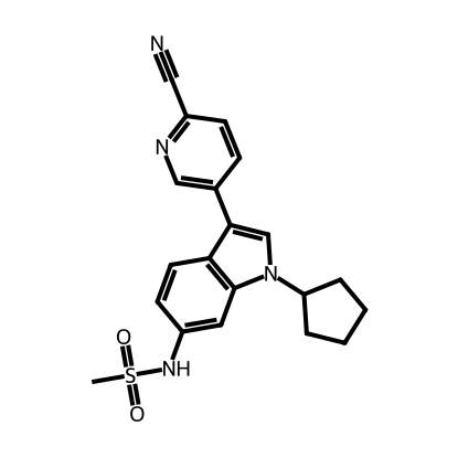 CS(=O)(=O)Nc1ccc2c(-c3ccc(C#N)nc3)cn(C3CCCC3)c2c1